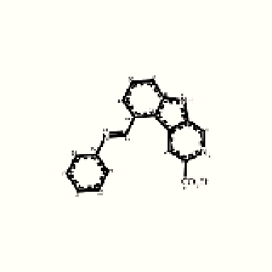 CCOC(=O)c1cc2c(cn1)[nH]c1cccc(/C=N/c3ccccc3)c12